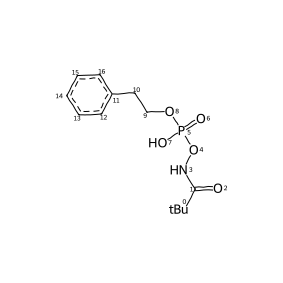 CC(C)(C)C(=O)NOP(=O)(O)OCCc1ccccc1